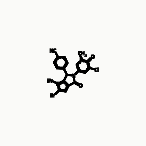 CC(C)n1c(Br)cc2c1C(c1ccc(C#N)cc1)N(c1cc(Cl)c(=O)n(C)c1)C2=O